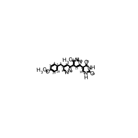 COc1ccc(Cc2cnnc(-c3cc(-c4c[nH]c(=O)[nH]c4=O)nnc3C)c2)cc1